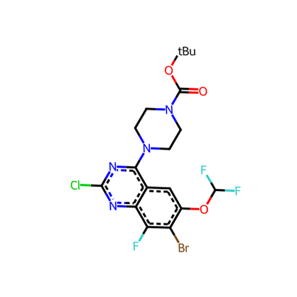 CC(C)(C)OC(=O)N1CCN(c2nc(Cl)nc3c(F)c(Br)c(OC(F)F)cc23)CC1